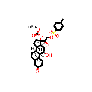 CCCCOC(=O)O[C@]1(C(=O)COS(=O)(=O)c2ccc(C)cc2)CC[C@H]2[C@@H]3CCC4=CC(=O)CC[C@]4(C)[C@H]3[C@@H](O)C[C@@]21C